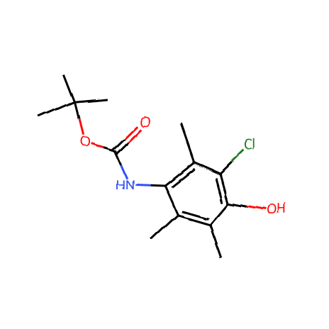 Cc1c(C)c(NC(=O)OC(C)(C)C)c(C)c(Cl)c1O